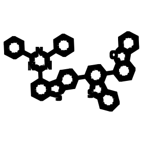 c1ccc(-c2nc(-c3ccccc3)nc(-c3cccc4sc5cc(-c6ccc(-c7cccc8c7oc7ccccc78)c7c6sc6ccccc67)ccc5c34)n2)cc1